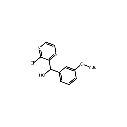 CCCCOc1cccc(C(O)c2nccnc2Cl)c1